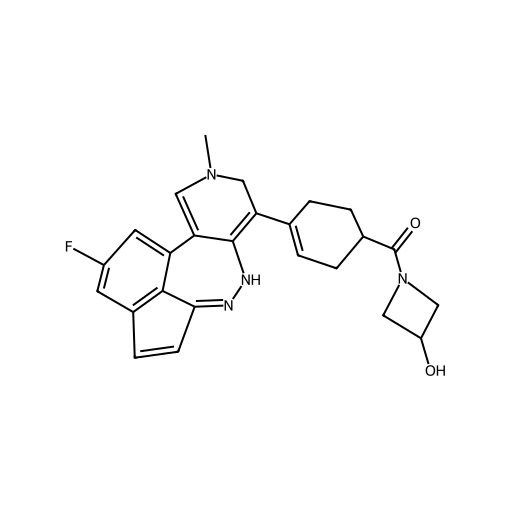 CN1C=C2C(=C(C3=CCC(C(=O)N4CC(O)C4)CC3)C1)NN=C1C=Cc3cc(F)cc2c31